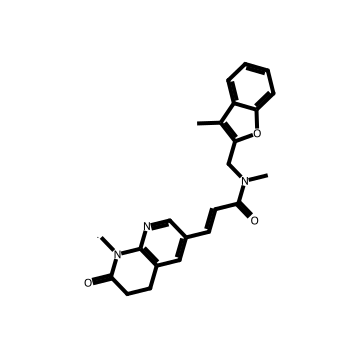 [CH2]N1C(=O)CCc2cc(/C=C/C(=O)N(C)Cc3oc4ccccc4c3C)cnc21